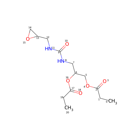 CCC(=O)OCC(CNC(=O)NCC1CO1)OC(=O)CC